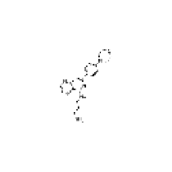 CN(CCCN)c1nc(-c2ccc(N3CCOCC3)cc2)cc2nccnc12